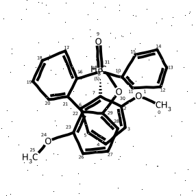 COc1ccccc1[P@](=O)(c1ccccc1)c1ccccc1-c1c(OC)cccc1OC